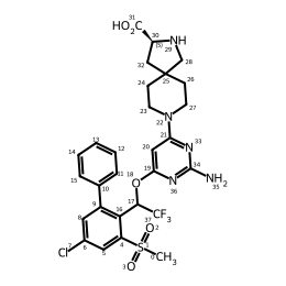 CS(=O)(=O)c1cc(Cl)cc(-c2ccccc2)c1C(Oc1cc(N2CCC3(CC2)CN[C@H](C(=O)O)C3)nc(N)n1)C(F)(F)F